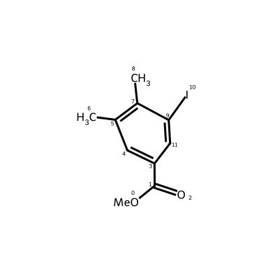 COC(=O)c1cc(C)c(C)c(I)c1